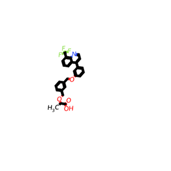 CC(OCc1cccc(COc2cccc(-c3ccnc4c(C(F)(F)F)cccc34)c2)c1)C(=O)O